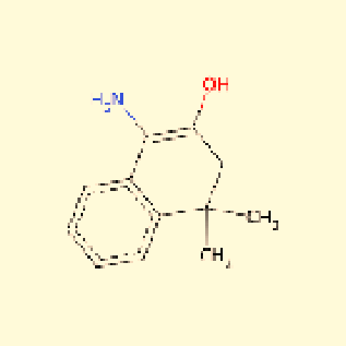 CC1(C)CC(O)=C(N)c2ccccc21